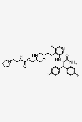 NC(=O)[C@@H](Nc1cncc(F)c1CC[C@@H]1CN[C@H](COC(=O)NCCN2CCCC2)CO1)C(c1ccc(F)cc1)c1ccc(F)cc1